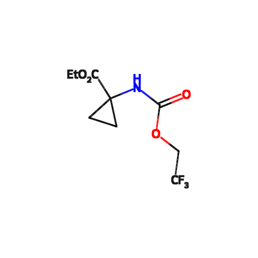 CCOC(=O)C1(NC(=O)OCC(F)(F)F)CC1